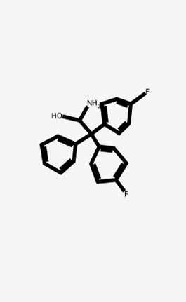 NC(O)C(c1ccccc1)(c1ccc(F)cc1)c1ccc(F)cc1